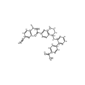 CC(NC(=O)c1ccc2c(c1)OCCN2Cc1ccccc1-c1ccc(C(=O)O)cc1)c1ccc(C#N)cc1